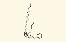 CCCCCCCCCCCCCn1cc[n+](CCCc2ccccc2)c1CCCCCC